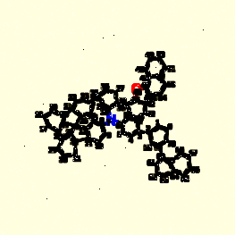 c1cc(-c2ccc(N(c3ccc4c(c3)C3(c5ccccc5-c5ccccc53)c3ccccc3-4)c3ccccc3-c3cccc4c3oc3c5ccccc5ccc43)cc2)cc(-c2cccc3ccccc23)c1